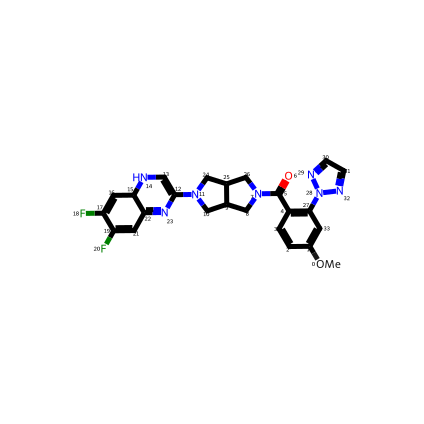 COc1ccc(C(=O)N2CC3CN(C4=CNC5C=C(F)C(F)=CC5=N4)CC3C2)c(-n2nccn2)c1